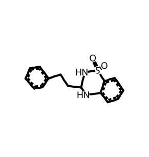 O=S1(=O)NC(CCc2ccccc2)Nc2ccccc21